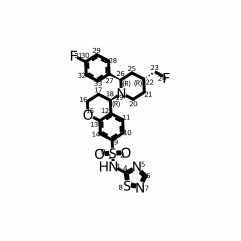 O=S(=O)(Nc1ncns1)c1ccc2c(c1)OCC[C@H]2N1CC[C@@H](CF)C[C@@H]1c1ccc(F)cc1